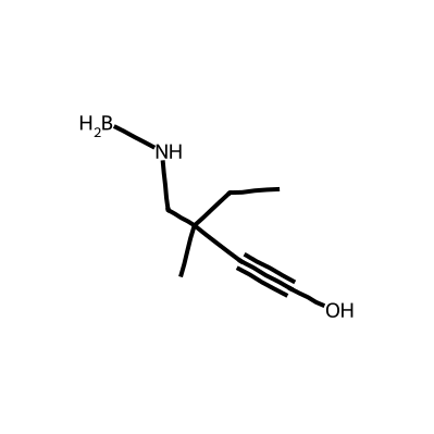 BNCC(C)(C#CO)CC